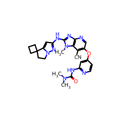 CN(C)C(=O)Nc1cc(Oc2cnc3nc(Nc4cc5n(n4)CCC54CCC4)n(C)c3c2C#N)ccn1